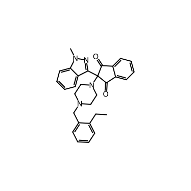 CCc1ccccc1CN1CCN(C2(c3nn(C)c4ccccc34)C(=O)c3ccccc3C2=O)CC1